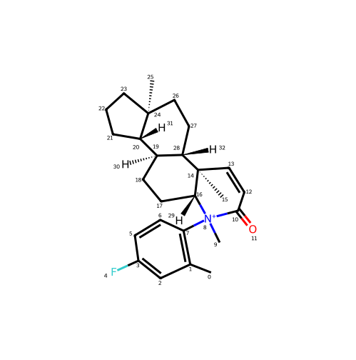 Cc1cc(F)ccc1[N+]1(C)C(=O)C=C[C@@]2(C)[C@H]1CC[C@H]1[C@@H]3CCC[C@@]3(C)CC[C@@H]12